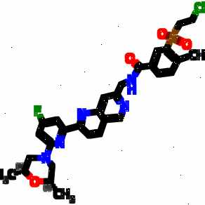 Cc1ccc(C(=O)NCc2cc3nc(-c4cc(F)cc(N5C[C@@H](C)O[C@@H](C)C5)n4)ccc3cn2)cc1S(=O)(=O)CCCl